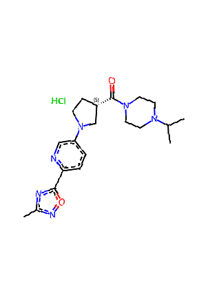 Cc1noc(-c2ccc(N3CC[C@H](C(=O)N4CCN(C(C)C)CC4)C3)cn2)n1.Cl